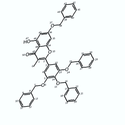 Cc1c(-c2cc(OCc3ccccc3)c(OCc3ccccc3)c(OCc3ccccc3)c2)oc2cc(OCc3ccccc3)cc(O)c2c1=O